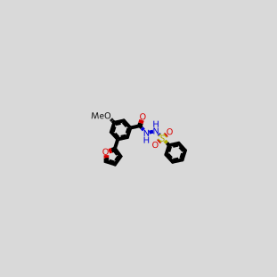 COc1cc(C(=O)NNS(=O)(=O)c2ccccc2)cc(-c2ccco2)c1